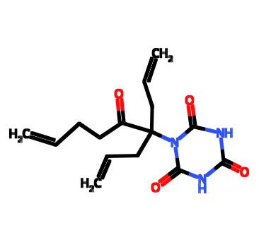 C=CCCC(=O)C(CC=C)(CC=C)n1c(=O)[nH]c(=O)[nH]c1=O